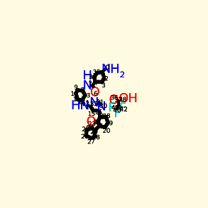 Nc1ccc(C(=O)Nc2cccc(Nc3cc(-c4cccc5c4oc4ccccc45)ncn3)c2)cc1.O=C(O)C(F)(F)F